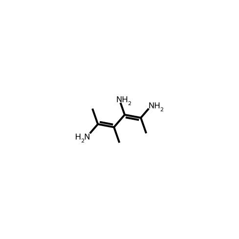 C/C(N)=C(N)\C(C)=C(/C)N